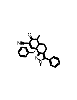 CC1C(=O)C(C#N)=C[C@]2(Cc3ccccc3)c3nn(C)c(-c4ccccc4)c3CCC12